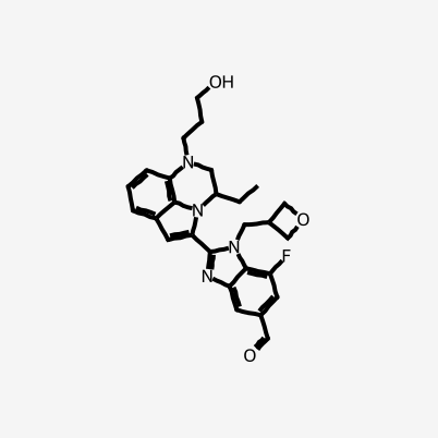 CCC1CN(CCCO)c2cccc3cc(-c4nc5cc(C=O)cc(F)c5n4CC4COC4)n1c23